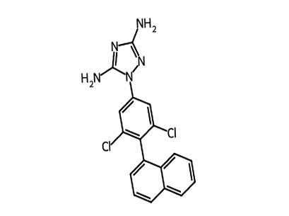 Nc1nc(N)n(-c2cc(Cl)c(-c3cccc4ccccc34)c(Cl)c2)n1